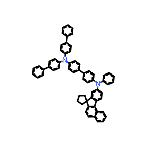 c1ccc(-c2ccc(N(c3ccc(-c4ccccc4)cc3)c3ccc(-c4ccc(N(c5ccccc5)c5ccc6c(c5)C5(CCCC5)c5ccc7ccccc7c5-6)cc4)cc3)cc2)cc1